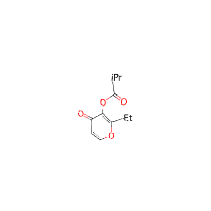 CCc1occc(=O)c1OC(=O)C(C)C